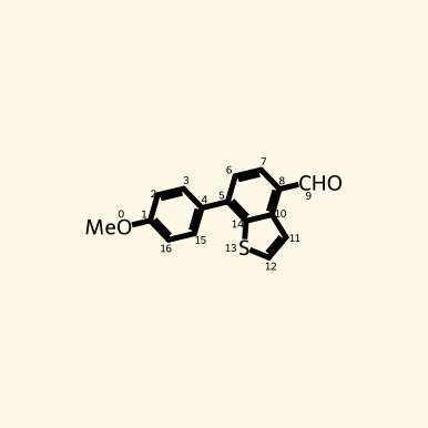 COc1ccc(-c2ccc(C=O)c3ccsc23)cc1